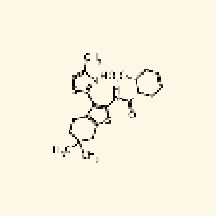 Cc1csc(-c2c(NC(=O)[C@H]3CC=CC[C@H]3C(=O)O)sc3c2CCC(C)(C)C3)n1